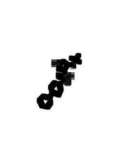 CC(C)(C)SC1CNCC1NS(=O)(=O)c1ccc(-c2ccccc2)cc1